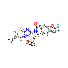 CCS(=O)(=O)c1c(N2Cc3cc4c(cc3C2=O)OC(F)(F)O4)nc2ccc(C(F)(F)F)cn12